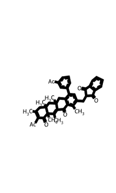 CC(=O)C1=C(C)CC2(C)CC3(C)Cc4c(-c5cccc(C(C)=O)c5)cc(CC5C(=O)c6ccccc6C5=O)c(C)c4C(=O)C3=C(C)C2(C)C1=O